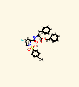 Cc1ccc(S(=O)(=O)N2C[C@H](F)C[C@H]2C(=O)N[C@@H](Cc2ccccc2)C(=O)OCc2ccccc2)cc1